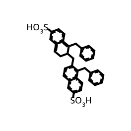 O=S(=O)(O)c1ccc2c(c1)=CCC(Cc1ccc3cc(S(=O)(=O)O)ccc3c1Cc1ccccc1)C=2Cc1ccccc1